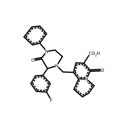 O=C(O)c1cc(CN2CCN(c3ccccc3)C(=O)C2c2cccc(F)c2)c2ccccn2c1=O